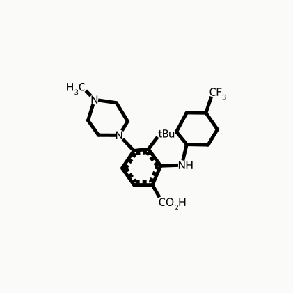 CN1CCN(c2ccc(C(=O)O)c(NC3CCC(C(F)(F)F)CC3)c2C(C)(C)C)CC1